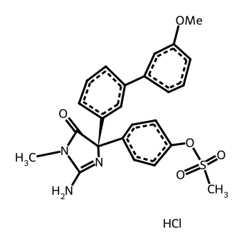 COc1cccc(-c2cccc([C@@]3(c4ccc(OS(C)(=O)=O)cc4)N=C(N)N(C)C3=O)c2)c1.Cl